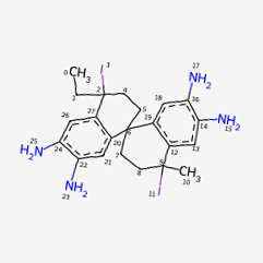 CCC1(I)CCC2(CCC(C)(I)c3cc(N)c(N)cc32)c2cc(N)c(N)cc21